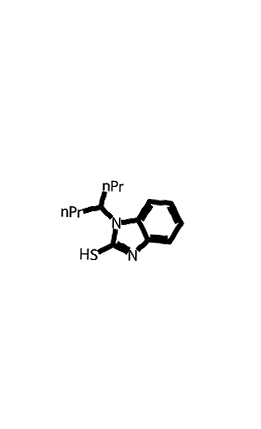 CCCC(CCC)n1c(S)nc2ccccc21